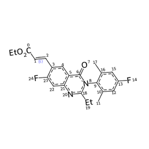 CCOC(=O)/C=C/c1cc2c(=O)n(-c3c(C)cc(F)cc3C)c(CC)nc2cc1F